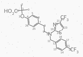 CC(C)(Oc1ccc(CCN(Cc2ccc(C(F)(F)F)cc2)c2nc(C(F)(F)F)cs2)cc1)C(=O)O